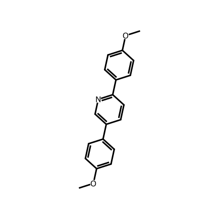 COc1ccc(-c2ccc(-c3ccc(OC)cc3)nc2)cc1